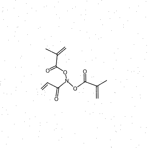 C=CC(=O)N(OC(=O)C(=C)C)OC(=O)C(=C)C